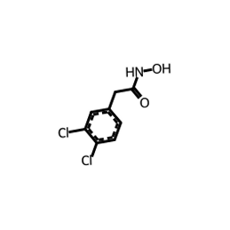 O=C(Cc1ccc(Cl)c(Cl)c1)NO